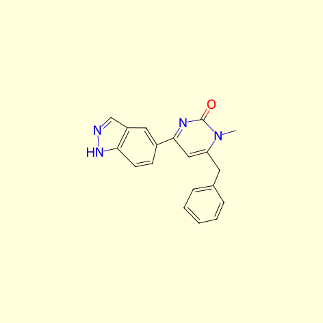 Cn1c(Cc2ccccc2)cc(-c2ccc3[nH]ncc3c2)nc1=O